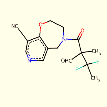 CC(F)(F)C(C)(C=O)C(=O)N1CCOc2c(C#N)cncc2C1